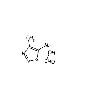 Cc1nns[c]1[Na].O=CO